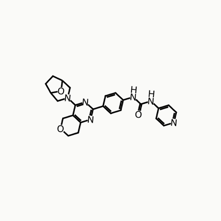 O=C(Nc1ccncc1)Nc1ccc(-c2nc3c(c(N4CC5CCC(C4)O5)n2)COCC3)cc1